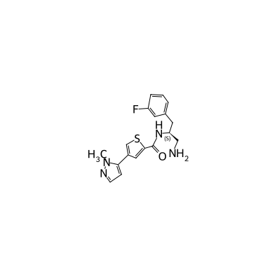 Cn1nccc1-c1csc(C(=O)N[C@H](CN)Cc2cccc(F)c2)c1